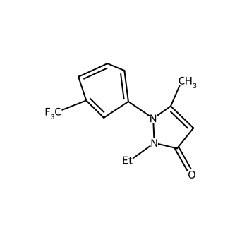 CCn1c(=O)cc(C)n1-c1cccc(C(F)(F)F)c1